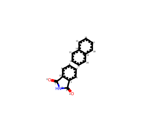 O=C1NC(=O)c2ccccc21.c1ccc2ccccc2c1